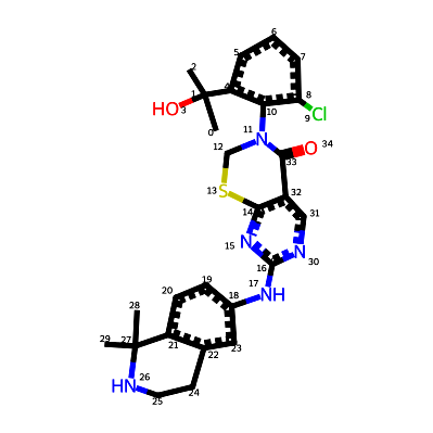 CC(C)(O)c1cccc(Cl)c1N1CSc2nc(Nc3ccc4c(c3)CCNC4(C)C)ncc2C1=O